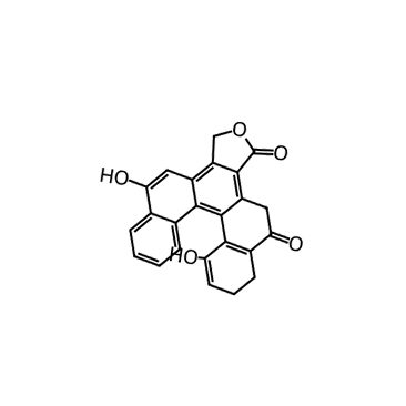 O=C1Cc2c3c(c4cc(O)c5ccccc5c4c2C2=C1CCC=C2O)COC3=O